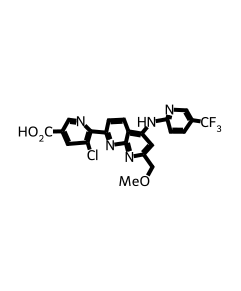 COCc1cc(Nc2ccc(C(F)(F)F)cn2)c2ccc(-c3ncc(C(=O)O)cc3Cl)nc2n1